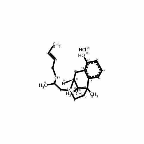 CC=CCOC(C)CN1CCC2(C)c3cccc(O)c3C[C@@H]1C2(C)C.Cl